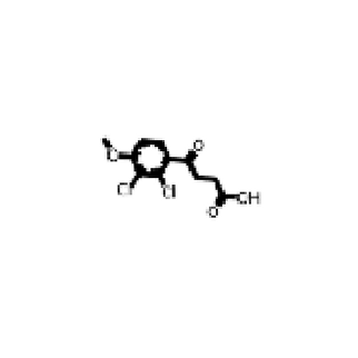 COc1ccc(C(=O)CCC(=O)O)c(Cl)c1Cl